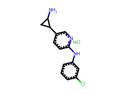 Cl.NC1CC1c1ccc(Nc2cccc(Cl)c2)nc1